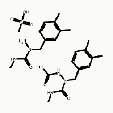 CNC(=O)N(Cc1ccc(C)c(C)c1)NC(=O)O.CNC(=O)N(N)Cc1ccc(C)c(C)c1.CS(=O)(=O)O